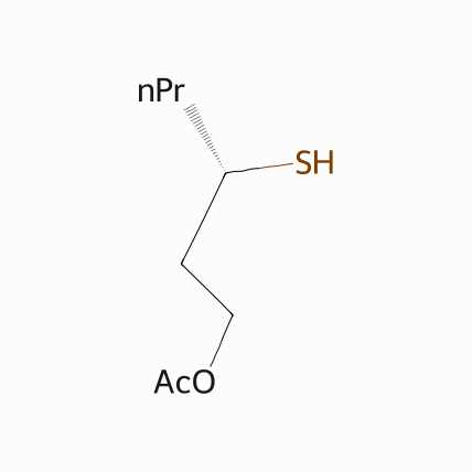 CCC[C@H](S)CCOC(C)=O